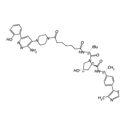 Cc1ncsc1-c1ccc([C@@H](C)NC(=O)[C@H]2C[C@H](O)CN2C(=O)[C@H](NC(=O)CCCCCC(=O)N2CCN(c3cc(-c4ccccc4O)nnc3N)CC2)C(C)(C)C)cc1